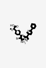 CO[C@@H](C(=O)O)[C@H]1CC[C@H](c2nc3c(-c4ccc(-c5ccccc5)nc4)cnn3c(N)c2Br)CC1